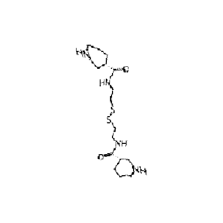 O=C(NCCSSCCNC(=O)[C@H]1CCCNC1)[C@H]1CCCNC1